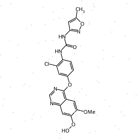 COc1cc2c(Oc3ccc(NC(=O)Nc4cc(C)on4)c(Cl)c3)ncnc2cc1OO